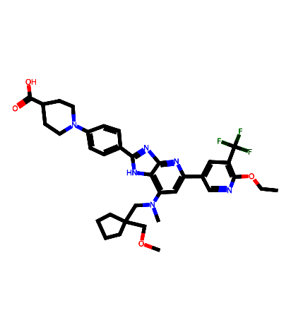 CCOc1ncc(-c2cc(N(C)CC3(COC)CCCC3)c3[nH]c(-c4ccc(N5CCC(C(=O)O)CC5)cc4)nc3n2)cc1C(F)(F)F